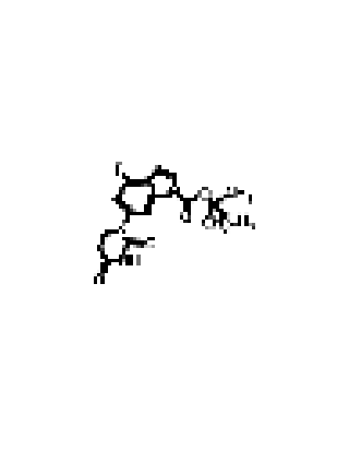 CC(C)(C)OC(=O)n1ccc2c(F)cc(N3CCC(=O)NC3=O)cc21